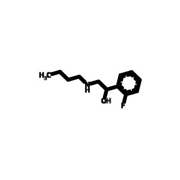 CCCCNCC(O)c1ccccc1F